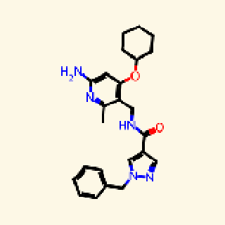 Cc1nc(N)cc(OC2CCCCC2)c1CNC(=O)c1cnn(Cc2ccccc2)c1